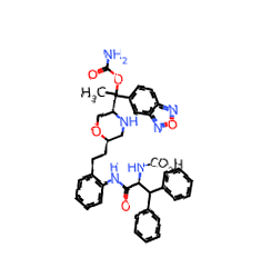 CC(OC(N)=O)(c1ccc2nonc2c1)[C@@H]1CO[C@H](CCc2ccccc2NC(=O)[C@@H](NC(=O)O)C(c2ccccc2)c2ccccc2)CN1